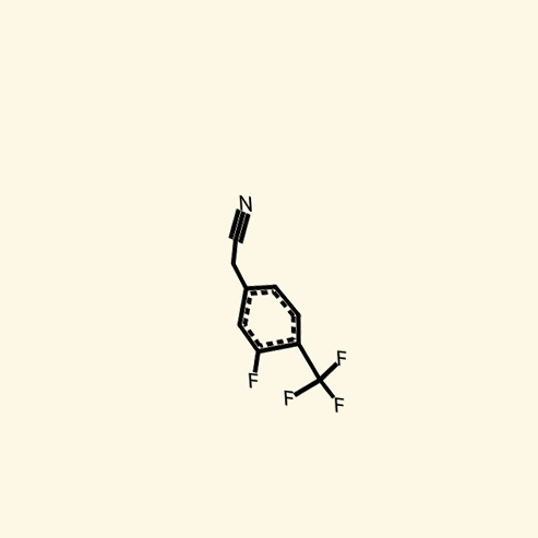 N#CCc1ccc(C(F)(F)F)c(F)c1